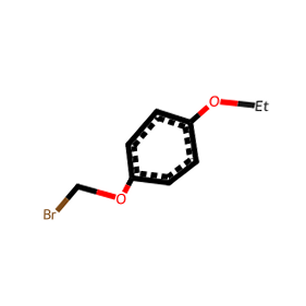 CCOc1ccc(OCBr)cc1